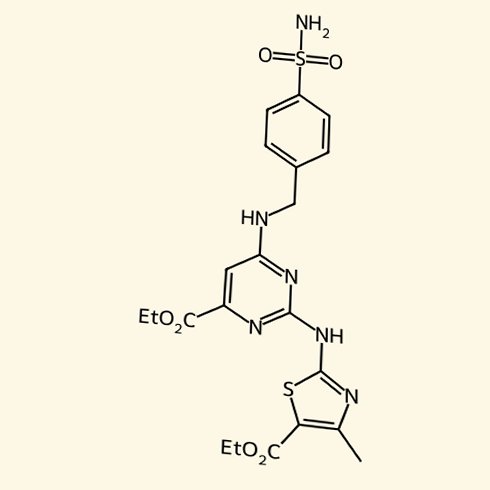 CCOC(=O)c1cc(NCc2ccc(S(N)(=O)=O)cc2)nc(Nc2nc(C)c(C(=O)OCC)s2)n1